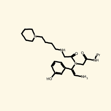 CC(C)NC(=O)CN(C(=O)CNCCCCN1CCCCC1)/C(=C\N)c1cccc(O)c1